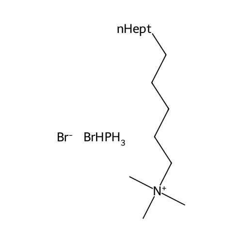 Br.CCCCCCCCCCCC[N+](C)(C)C.P.[Br-]